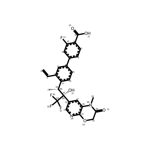 C=Cc1cc(-c2ccc(C(=O)O)c(F)c2)ccc1[C@@H](C)[C@@](O)(c1cnc2c(c1)N(C)C(=O)CO2)C(F)(F)F